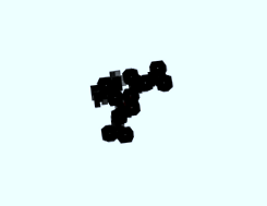 N#Cc1ccc(-n2c3ccccc3c3cc(-n4c5ccccc5c5ccccc54)ccc32)cc1-c1cc(-c2c(C(F)(F)F)cccc2C(F)(F)F)ccc1-n1c2ccccc2c2cc(-n3c4ccccc4c4ccccc43)ccc21